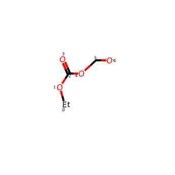 CCOC(=O)OC[O]